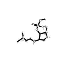 COP(=O)(O)OC1C(OCCN(C)C)CO[C@@H]1C